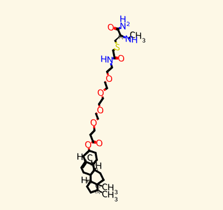 CN[C@@H](CSCC(=O)NCCOCCOCCOCCOCCC(=O)OC1CC[C@@]2(C)C(=CCC3[C@@H]4CC[C@H](C)[C@@]4(C)CC[C@@H]32)C1)C(N)=O